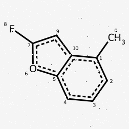 Cc1cccc2oc(F)cc12